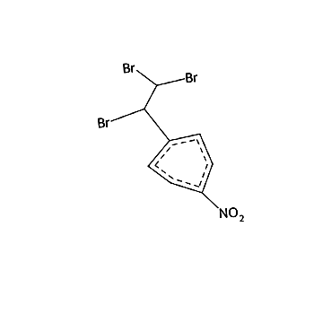 O=[N+]([O-])c1ccc(C(Br)C(Br)Br)cc1